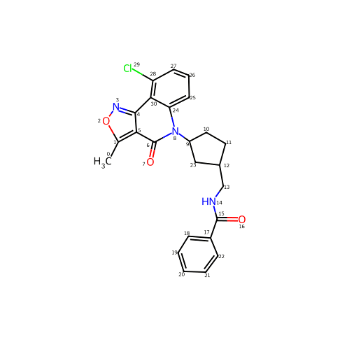 Cc1onc2c1c(=O)n(C1CCC(CNC(=O)c3ccccc3)C1)c1cccc(Cl)c21